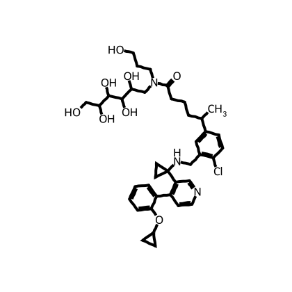 CC(CCCC(=O)N(CCCO)CC(O)C(O)C(O)C(O)CO)c1ccc(Cl)c(CNC2(c3cnccc3-c3ccccc3OC3CC3)CC2)c1